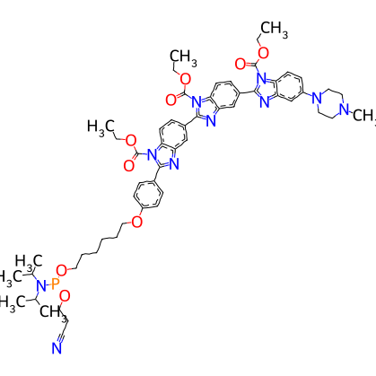 CCOC(=O)n1c(-c2ccc(OCCCCCCOP(OCCC#N)N(C(C)C)C(C)C)cc2)nc2cc(-c3nc4cc(-c5nc6cc(N7CCN(C)CC7)ccc6n5C(=O)OCC)ccc4n3C(=O)OCC)ccc21